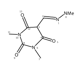 CN/N=C/C1C(=O)N(C)C(=O)N(C)C1=O